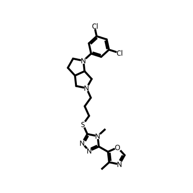 Cc1ncoc1-c1nnc(SCCCN2CC3CCN(c4cc(Cl)cc(Cl)c4)C3C2)n1C